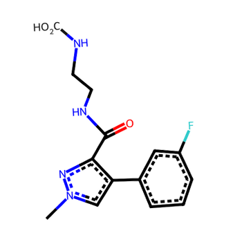 Cn1cc(-c2cccc(F)c2)c(C(=O)NCCNC(=O)O)n1